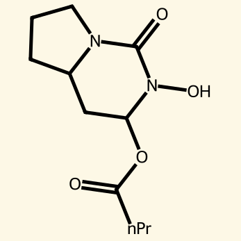 CCCC(=O)OC1CC2CCCN2C(=O)N1O